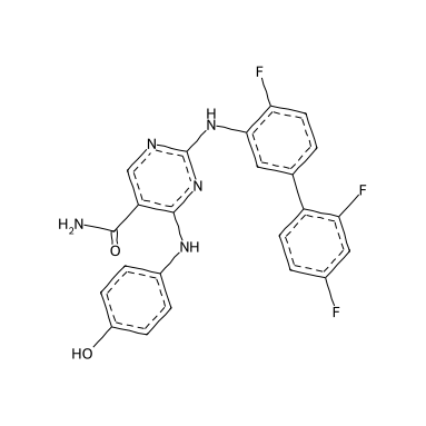 NC(=O)c1cnc(Nc2cc(-c3ccc(F)cc3F)ccc2F)nc1Nc1ccc(O)cc1